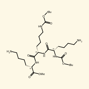 COC(=O)[C@H](CCCCN)NC(=O)[C@H](CCCCNC(=O)OC(C)(C)C)NC(=O)[C@H](CCCCN)NC(=O)OC(C)(C)C